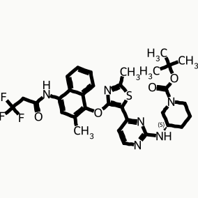 Cc1nc(Oc2c(C)cc(NC(=O)CC(F)(F)F)c3ccccc23)c(-c2ccnc(N[C@H]3CCCN(C(=O)OC(C)(C)C)C3)n2)s1